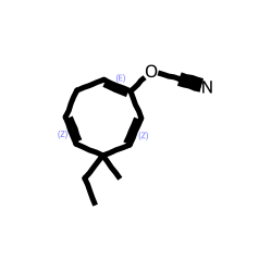 CCC1(C)/C=C\C/C=C(OC#N)\C=C/1